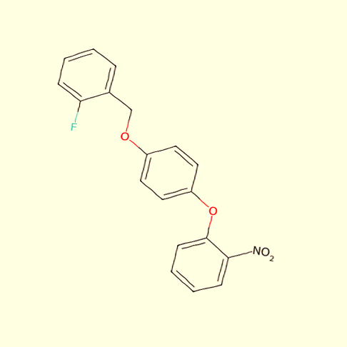 O=[N+]([O-])c1ccccc1Oc1ccc(OCc2ccccc2F)cc1